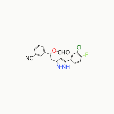 N#Cc1cccc(C(Cc2cc(-c3ccc(F)c(Cl)c3)[nH]n2)OC=O)c1